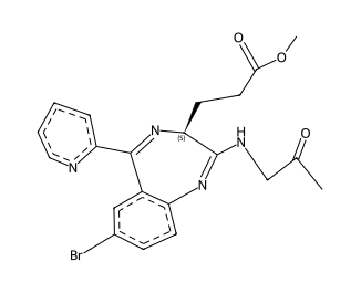 COC(=O)CC[C@@H]1N=C(c2ccccn2)c2cc(Br)ccc2N=C1NCC(C)=O